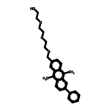 Cc1c2ccc(-c3ccccc3)cc2c(C)c2ccc(COCCOCCOCCO)cc12